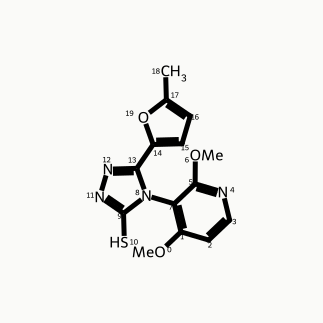 COc1ccnc(OC)c1-n1c(S)nnc1-c1ccc(C)o1